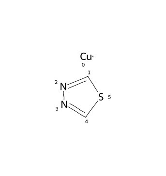 [Cu].c1nncs1